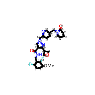 COc1ccc(F)c(CNC(=O)c2cn(Cc3ccc(Cn4ccccc4=O)cn3)nc2C2COC2)c1F